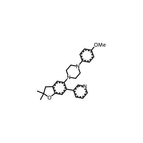 COc1ccc(N2CCN(c3cc4c(cc3-c3cccnc3)OC(C)(C)C4)CC2)cc1